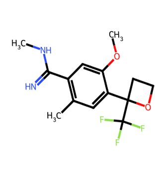 CNC(=N)c1cc(OC)c(C2(C(F)(F)F)CCO2)cc1C